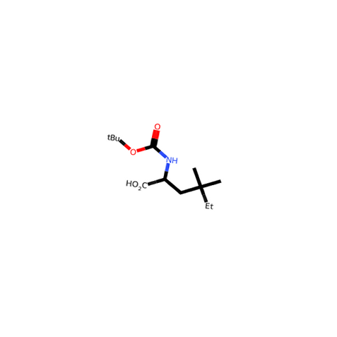 CCC(C)(C)CC(NC(=O)OC(C)(C)C)C(=O)O